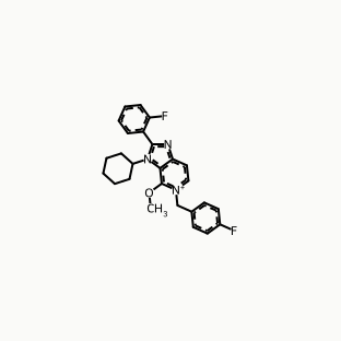 COc1c2c(cc[n+]1Cc1ccc(F)cc1)nc(-c1ccccc1F)n2C1CCCCC1